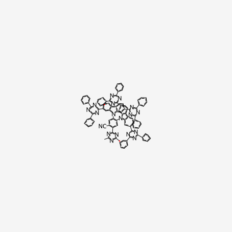 Cc1nc(C)nc(-c2cc(-n3c4cc(-c5nc(-c6ccccc6)nc(-c6ccccc6)n5)ccc4c4ccc(-c5nc(-c6ccccc6)nc(-c6ccccc6)n5)cc43)c(-n3c4cc(-c5nc(-c6ccccc6)nc(-c6ccccc6)n5)ccc4c4ccc(-c5nc(-c6ccccc6)nc(-c6ccccc6)n5)cc43)cc2C#N)n1